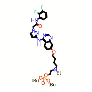 CCN(CCCCOc1ccc2c(Nc3ccn(CC(=O)Nc4cccc(F)c4F)n3)ncnc2c1)CCOP(=O)(OC(C)(C)C)OC(C)(C)C